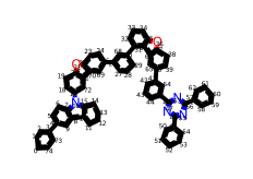 c1ccc(-c2ccc3c(c2)c2ccccc2n3-c2ccc3oc4ccc(-c5cccc(-c6cccc7oc8ccc(-c9cccc(-c%10nc(-c%11ccccc%11)nc(-c%11ccccc%11)n%10)c9)cc8c67)c5)cc4c3c2)cc1